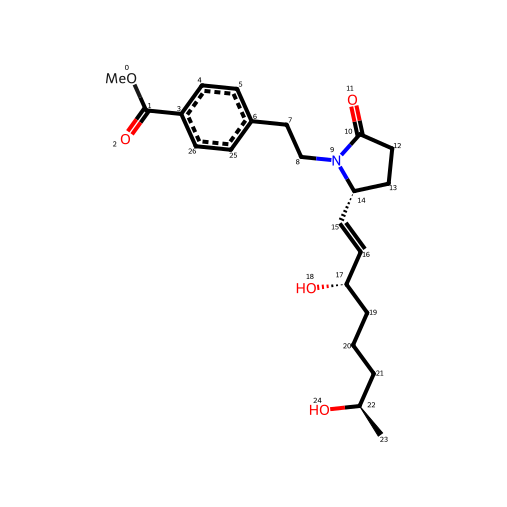 COC(=O)c1ccc(CCN2C(=O)CC[C@@H]2C=C[C@@H](O)CCC[C@@H](C)O)cc1